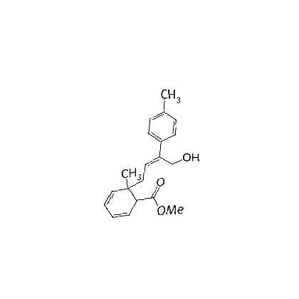 COC(=O)C1C=CC=CC1(C)C/C=C(\CO)c1ccc(C)cc1